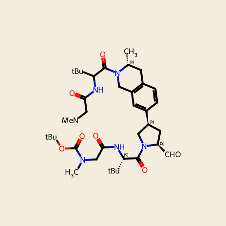 CNCC(=O)NC(C(=O)N1Cc2cc([C@H]3C[C@@H](C=O)N(C(=O)[C@@H](NC(=O)CN(C)C(=O)OC(C)(C)C)C(C)(C)C)C3)ccc2C[C@H]1C)C(C)(C)C